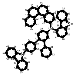 c1ccc(-c2cc(N(c3ccc4ccc5ccc6ccccc6c5c4c3)c3cccc4sc5ccccc5c34)ccc2-c2ccc(-n3c4ccccc4c4ccccc43)cc2)cc1